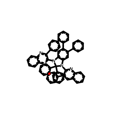 c1ccc(-c2cc3c(cc2-c2ccccc2)N(c2nc4ccccc4nc2-c2ccccc2)C(c2ccccc2)(c2ccccc2)N3c2nc3ccccc3cc2-c2ccccc2)cc1